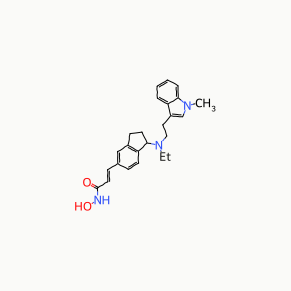 CCN(CCc1cn(C)c2ccccc12)C1CCc2cc(/C=C/C(=O)NO)ccc21